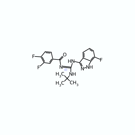 CC(C)(C)N/C(=N/C(=O)c1ccc(F)c(F)c1)Nc1n[nH]c2c(F)cccc12